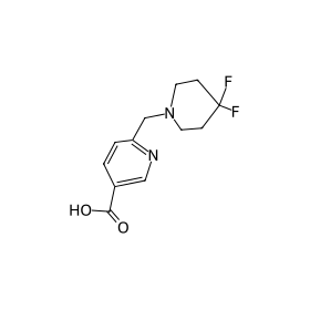 O=C(O)c1ccc(CN2CCC(F)(F)CC2)nc1